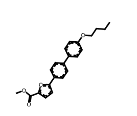 CCCCOc1ccc(-c2ccc(-c3ccc(C(=O)OC)o3)cc2)cc1